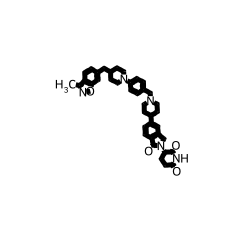 Cc1noc2cc(CC3CCN(c4ccc(CN5CCC(c6ccc7c(c6)CN(C6CCC(=O)NC6=O)C7=O)CC5)cc4)CC3)ccc12